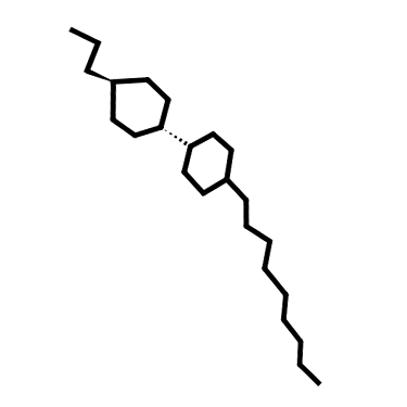 CCCCCCCCCC1CCC([C@H]2CC[C@H](CCC)CC2)CC1